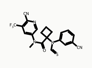 CN(C(=O)C1(N(C=S)c2cccc(C#N)c2)CCC1)c1cnc(C#N)c(C(F)(F)F)c1